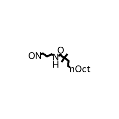 CCCCCCCCCCC(C)(C)C(=O)NCCCN=O